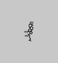 CC(C)=CCC[C@@](C)(O)C1CC[C@]2(C)C1[C@H](O)CC1[C@@]3(C)CC[C@H](O)C(C)(C)C3CC[C@]12C